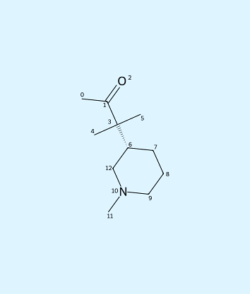 CC(=O)C(C)(C)[C@@H]1CCCN(C)C1